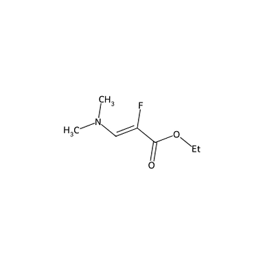 CCOC(=O)/C(F)=C/N(C)C